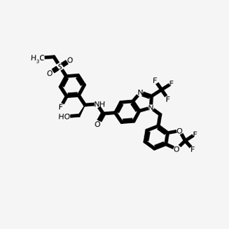 CCS(=O)(=O)c1ccc([C@H](CO)NC(=O)c2ccc3c(c2)nc(C(F)(F)F)n3Cc2cccc3c2OC(F)(F)O3)c(F)c1